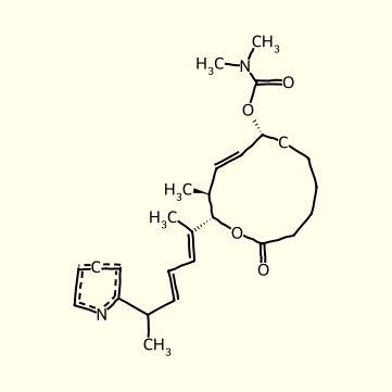 C/C(=C\C=C\C(C)c1ccccn1)[C@H]1OC(=O)CCCCC[C@@H](OC(=O)N(C)C)/C=C/[C@@H]1C